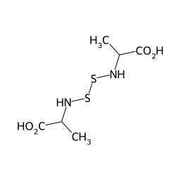 CC(NSSNC(C)C(=O)O)C(=O)O